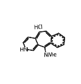 CNC1=c2ccccc2=CC=C2C=CNC=C21.Cl